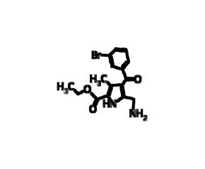 CCOC(=O)c1[nH]c(CN)c(C(=O)c2cccc(Br)c2)c1C